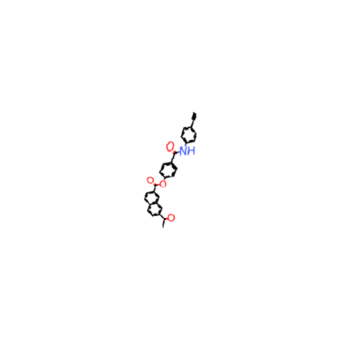 C#Cc1ccc(NC(=O)c2ccc(OC(=O)c3ccc4ccc(C(C)=O)cc4c3)cc2)cc1